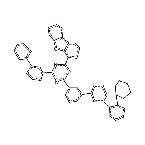 c1ccc(-c2cccc(-c3nc(-c4cccc(-c5ccc6c(c5)-c5ccccc5C65CCCCC5)c4)nc(-c4cccc5c4oc4ccccc45)n3)c2)cc1